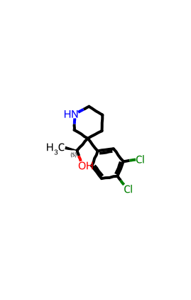 C[C@H](O)C1(c2ccc(Cl)c(Cl)c2)CCCNC1